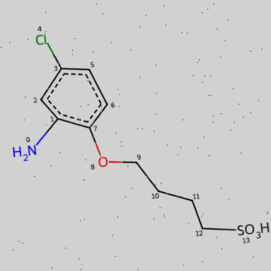 Nc1cc(Cl)ccc1OCCCCS(=O)(=O)O